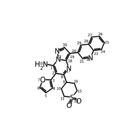 Nc1c(-c2ccco2)c(C2CCS(=O)(=O)CC2)nc2c(-c3cnc4ccccc4c3)cnn12